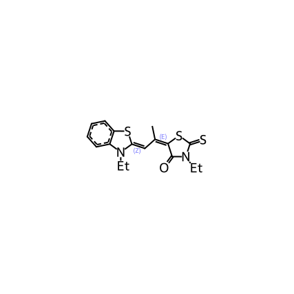 CCN1C(=O)/C(=C(C)\C=C2/Sc3ccccc3N2CC)SC1=S